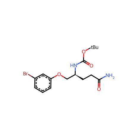 CC(C)(C)OC(=O)N[C@@H](CCC(N)=O)COc1cccc(Br)c1